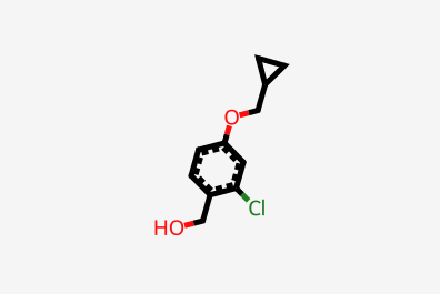 OCc1ccc(OCC2CC2)cc1Cl